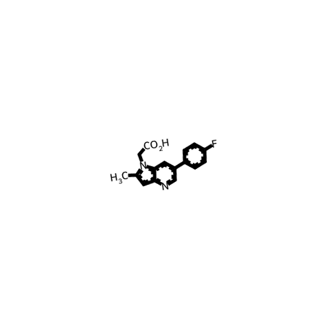 Cc1cc2ncc(-c3ccc(F)cc3)cc2n1CC(=O)O